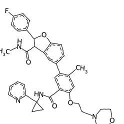 CNC(=O)C1c2cc(-c3cc(C(=O)NC4(c5ccccn5)CC4)c(OCCN4CCOCC4)cc3C)ccc2OC1c1ccc(F)cc1